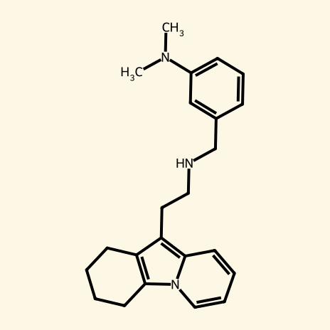 CN(C)c1cccc(CNCCc2c3c(n4ccccc24)CCCC3)c1